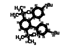 CCCCc1ccc(-c2c([Si](C)(C)C)ccc([Si](C)(C)C)c2-c2ccc(CCCC)cc2)cc1